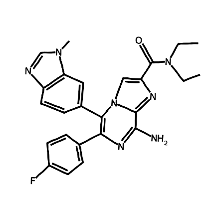 CCN(CC)C(=O)c1cn2c(-c3ccc4ncn(C)c4c3)c(-c3ccc(F)cc3)nc(N)c2n1